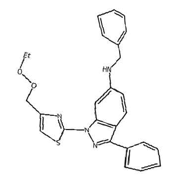 CCOOCc1csc(-n2nc(-c3ccccc3)c3ccc(NCc4ccccc4)cc32)n1